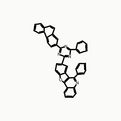 c1ccc(-c2nc(-c3ccc4c(ccc5ccccc54)c3)nc(-c3ccc4oc5c6ccccc6nc(-c6ccccc6)c5c4c3)n2)cc1